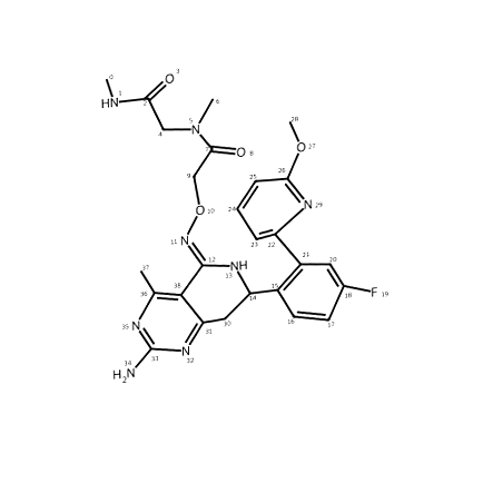 CNC(=O)CN(C)C(=O)CO/N=C1\NC(c2ccc(F)cc2-c2cccc(OC)n2)Cc2nc(N)nc(C)c21